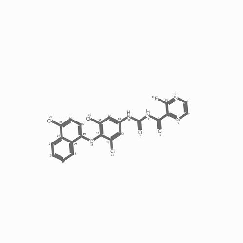 O=C(NC(=O)c1nccnc1F)Nc1cc(Cl)c(Oc2ccc(Cl)c3ccccc23)c(Cl)c1